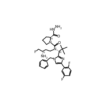 CC(C)(C)[C@H](c1nc(-c2cc(F)ccc2F)cn1Cc1ccccc1)N(CC[C@H](N)CF)C(=O)N1CCC[C@H]1C(=O)NN